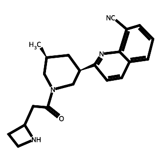 C[C@H]1C[C@@H](c2ccc3cccc(C#N)c3n2)CN(C(=O)CC2CCN2)C1